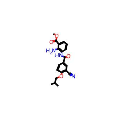 COC(=O)c1cccc(NC(=O)c2ccc(OCC(C)C)c(C#N)c2)c1N